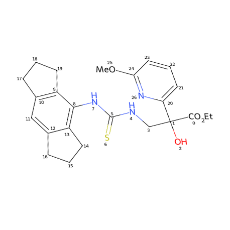 CCOC(=O)C(O)(CNC(=S)Nc1c2c(cc3c1CCC3)CCC2)c1cccc(OC)n1